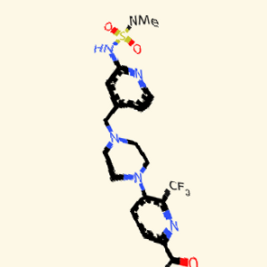 CNC(=O)c1ccc(N2CCN(Cc3ccnc(NS(=O)(=O)NC)c3)CC2)c(C(F)(F)F)n1